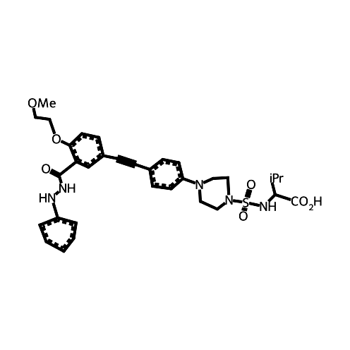 COCCOc1ccc(C#Cc2ccc(N3CCN(S(=O)(=O)NC(C(=O)O)C(C)C)CC3)cc2)cc1C(=O)NNc1ccccc1